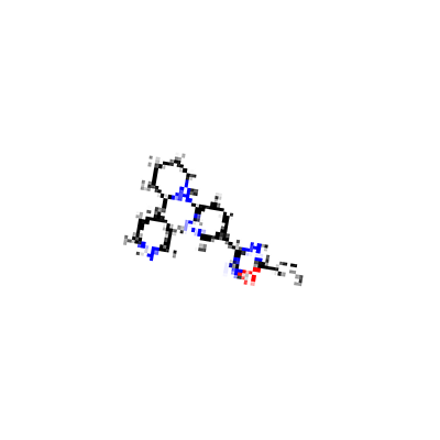 FC(F)(F)c1nc(-c2ccc(N3CCCCC3c3ccncc3)nc2)no1